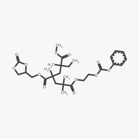 CCC(C)(CC(C)(CC(C)(C)C(=O)OCCOC(=O)Oc1ccccc1)C(=O)OCC1COC(=O)O1)C(=O)OC